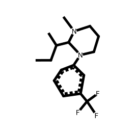 CCC(C)C1N(C)CCCN1c1cccc(C(F)(F)F)c1